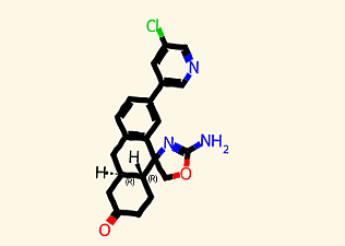 NC1=NC2(CO1)c1cc(-c3cncc(Cl)c3)ccc1C[C@@H]1CC(=O)CC[C@H]12